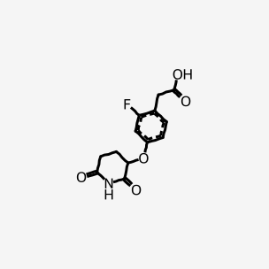 O=C(O)Cc1ccc(OC2CCC(=O)NC2=O)cc1F